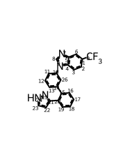 FC(F)(F)c1ccc2c(c1)ncn2-c1cccc(-c2ccccc2-c2cc[nH]n2)c1